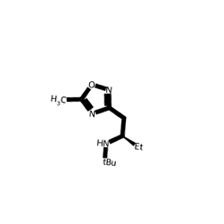 CC[C@H](Cc1noc(C)n1)NC(C)(C)C